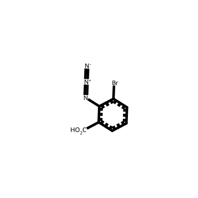 [N-]=[N+]=Nc1c(Br)cccc1C(=O)O